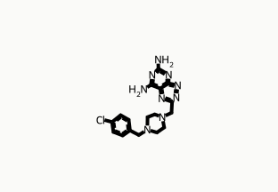 Nc1nc(N)c2nc(CN3CCN(Cc4ccc(Cl)cc4)CC3)nnc2n1